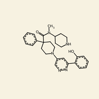 CN(C(=O)C1(c2ccccc2)CCN(c2cnnc(-c3ccccc3O)c2)CC1)C1CCNCC1